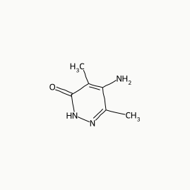 Cc1n[nH]c(=O)c(C)c1N